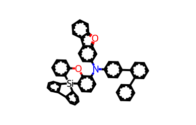 c1ccc(-c2ccccc2-c2ccc(N(c3ccc4c(c3)oc3ccccc34)c3cccc4c3Oc3ccccc3[Si]43c4ccccc4-c4ccccc43)cc2)cc1